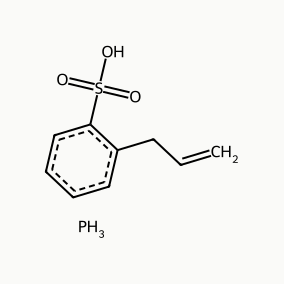 C=CCc1ccccc1S(=O)(=O)O.P